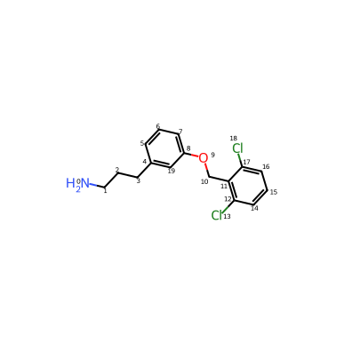 NCCCc1cccc(OCc2c(Cl)cccc2Cl)c1